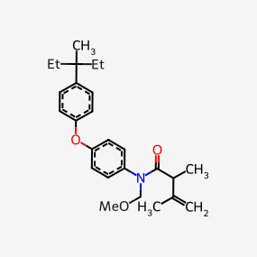 C=C(C)C(C)C(=O)N(COC)c1ccc(Oc2ccc(C(C)(CC)CC)cc2)cc1